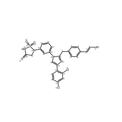 CCC/C=C/c1ccc(Cc2nc(-c3ccc(Cl)cc3Cl)cn2-c2cccc(N3CC(=O)NS3(=O)=O)c2)cc1